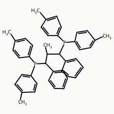 Cc1ccc(P(c2ccc(C)cc2)C(c2ccccc2)C(C)C(c2ccccc2)P(c2ccc(C)cc2)c2ccc(C)cc2)cc1